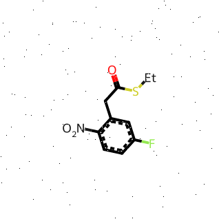 CCSC(=O)Cc1cc(F)ccc1[N+](=O)[O-]